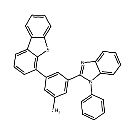 Cc1cc(-c2cccc3c2sc2ccccc23)cc(-c2nc3ccccc3n2-c2ccccc2)c1